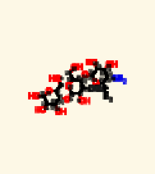 CO[C@H]1C(O)[C@H](O[C@H]2C(CO)OC(O)C(O)[C@@H]2O)OC(CO)[C@@H]1O[C@@H]1OC(C)[C@@H](N)[C@@H](O)C1O